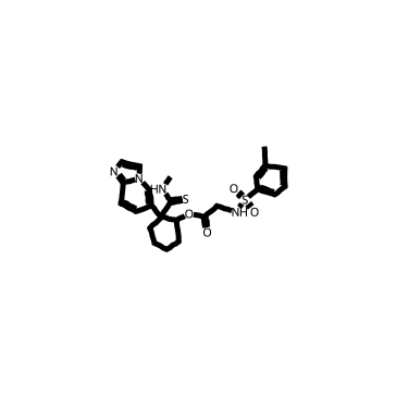 CNC(=S)C1(c2ccc3nccn3c2)CCCCC1OC(=O)CNS(=O)(=O)c1cccc(C)c1